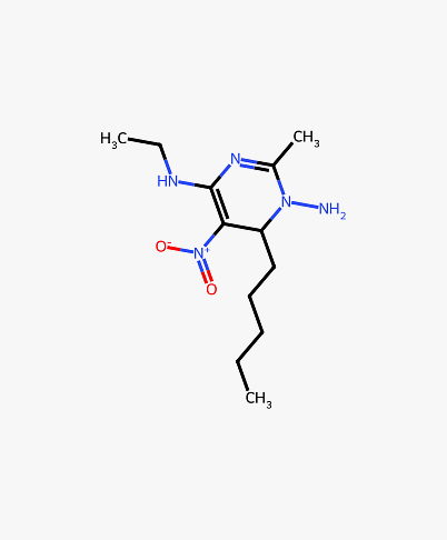 CCCCCC1C([N+](=O)[O-])=C(NCC)N=C(C)N1N